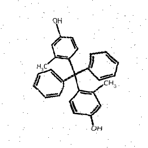 Cc1cc(O)ccc1C(c1ccccc1)(c1ccccc1)c1ccc(O)cc1C